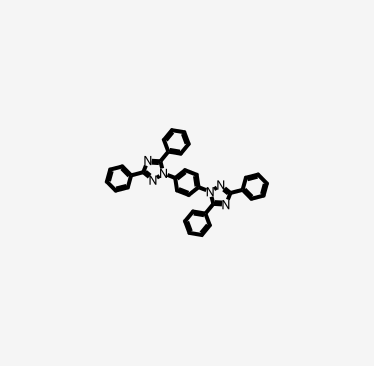 c1ccc(-c2nc(-c3ccccc3)n(-c3ccc(-n4nc(-c5ccccc5)nc4-c4ccccc4)cc3)n2)cc1